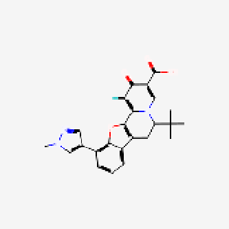 Cn1cc(-c2cccc3c4c(oc23)-c2c(F)c(=O)c(C(=O)O)cn2C(C(C)(C)C)C4)cn1